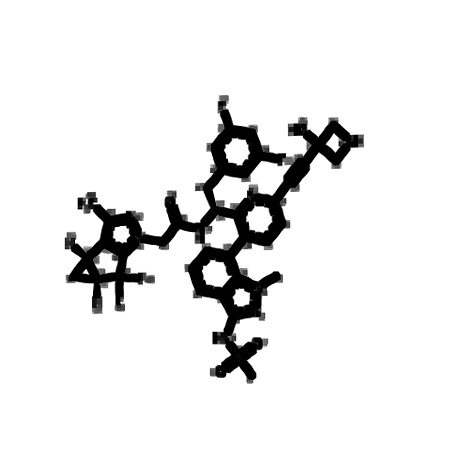 Cn1nc(NS(C)(=O)=O)c2cccc(-c3ccc(C#CC4(O)CNC4)nc3[C@H](Cc3cc(F)cc(F)c3)NC(=O)Cn3nc(C(F)(F)F)c4c3C(F)(F)[C@@H]3C[C@H]43)c21